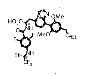 CCOCc1cc(OC)c(-c2ccc(C[C@H](NC(=O)c3c(F)cc(N[C@@H](CC)C(F)(F)F)cc3F)C(=O)O)n3ccnc23)c(OC)c1